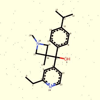 CCc1cc(C(O)(c2ccc(C(C)C)cc2)C2(C)CN(C)C2)ccn1